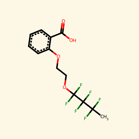 CC(F)(F)C(F)(F)C(F)(F)OCCOc1ccccc1C(=O)O